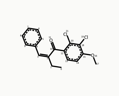 CC/C(=C/c1ccccc1)C(=O)c1ccc(OC)c(Cl)c1Cl